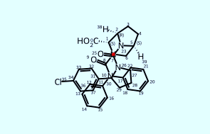 O=C(O)[C@@H]1[C@H]2CC[C@@H](CN1C(=O)N(c1ccccc1)c1ccccc1)N2C(=O)N1CCCC1c1ccc(Cl)cc1